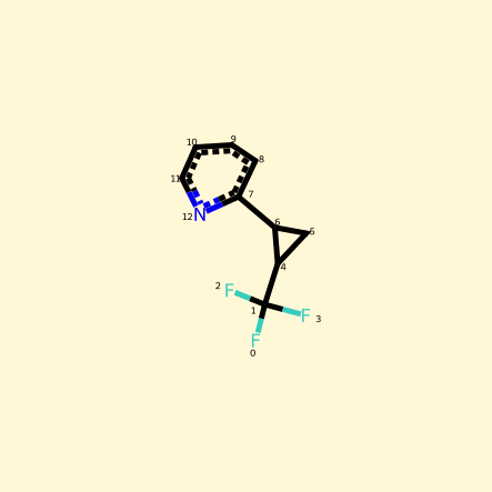 FC(F)(F)C1CC1c1ccccn1